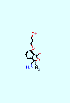 C[C@]1(CN)OB(O)c2c(OCCCO)cccc21